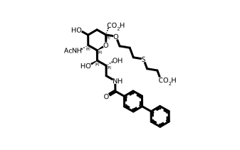 CC(=O)N[C@@H]1C(O)C[C@](OCCCSCCC(=O)O)(C(=O)O)O[C@H]1[C@H](O)[C@H](O)CNC(=O)c1ccc(-c2ccccc2)cc1